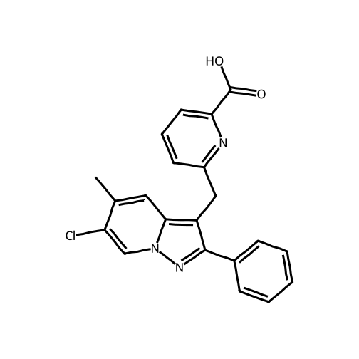 Cc1cc2c(Cc3cccc(C(=O)O)n3)c(-c3ccccc3)nn2cc1Cl